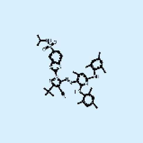 Cc1cc(C)c(Nc2cc(C)c(N=Nc3c(C#N)c(C(C)(C)C)nn3-c3nc4ccc(S(=O)(=O)NC(C)C)cc4s3)c(Nc3c(C)cc(C)cc3C)n2)c(C)c1